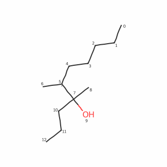 CCCCC[C](C)C(C)(O)CCC